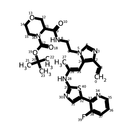 C=Cc1ncn(CCNC(=O)C2COCCN2C(=O)OC(C)(C)C)c1/C=C(\C)Nc1ncc(-c2ncccc2F)s1